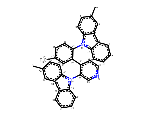 Cc1ccc2c(c1)c1ccccc1n2-c1ccc(C(F)(F)F)cc1-c1ccncc1-n1c2ccccc2c2cc(C)ccc21